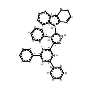 C1=Cc2c(c3ccccc3n2-c2nnc(-c3nc(-c4ccccc4)nc(-c4ccccc4)n3)n2-c2ccccc2)CC1